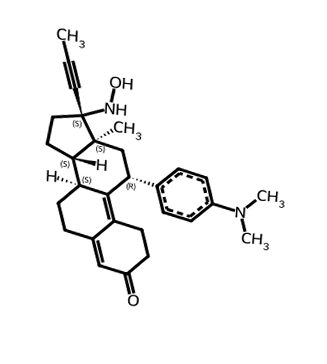 CC#C[C@]1(NO)CC[C@H]2[C@@H]3CCC4=CC(=O)CCC4=C3[C@@H](c3ccc(N(C)C)cc3)C[C@@]21C